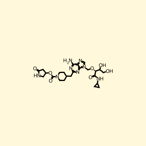 Nc1nc(CC2CCN(C(=O)OC3CNC(=O)C3)CC2)nc2c1ncn2CO[C@H](C(=O)NC1CC1)C(O)CO